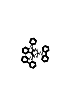 c1ccc(-n2c3ccccc3c3c(-n4c5ccccc5c5ccccc54)nc(-n4c5ccccc5c5ccccc54)nc32)cc1